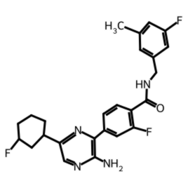 Cc1cc(F)cc(CNC(=O)c2ccc(-c3nc(C4CCCC(F)C4)cnc3N)cc2F)c1